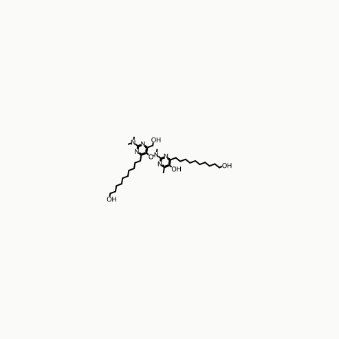 Cc1nc(N(C)Oc2c(CO)nc(N(C)C)nc2CCCCCCCCCCO)nc(CCCCCCCCCCO)c1O